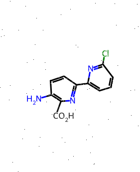 Nc1ccc(-c2cccc(Cl)n2)nc1C(=O)O